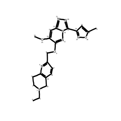 CCN1CCc2nc(COc3nn4c(-c5cc(C)on5)nnc4cc3OC)ccc2C1